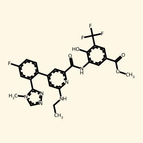 CCNc1cc(-c2ccc(F)cc2-c2nncn2C)cc(C(=O)Nc2cc(C(=O)OC)cc(C(F)(F)F)c2O)n1